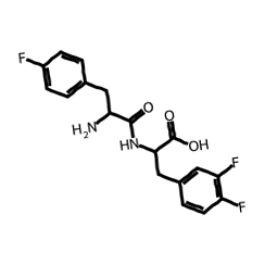 NC(Cc1ccc(F)cc1)C(=O)NC(Cc1ccc(F)c(F)c1)C(=O)O